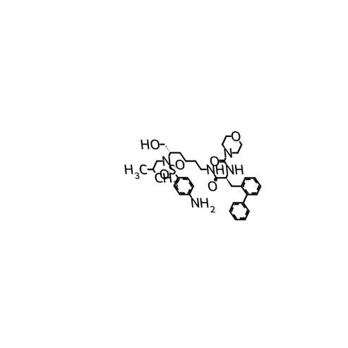 CC(C)CN([C@H](CO)CCCCNC(=O)[C@H](Cc1ccccc1-c1ccccc1)NC(=O)N1CCOCC1)S(=O)(=O)c1ccc(N)cc1